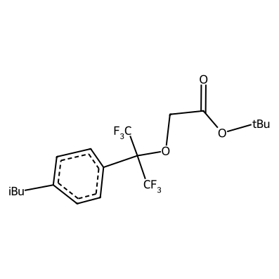 CCC(C)c1ccc(C(OCC(=O)OC(C)(C)C)(C(F)(F)F)C(F)(F)F)cc1